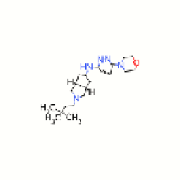 CC(C)(C)CCN1C[C@H]2C[C@H](Nc3ccc(N4CCOCC4)nn3)C[C@H]2C1